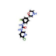 O=C(Nc1ccc(Cl)nc1)Nc1ccc([C@H]2CNCCO2)cc1F